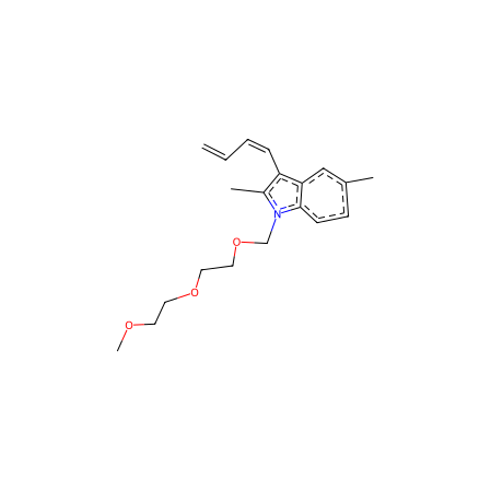 C=C/C=C\c1c(C)n(COCCOCCOC)c2ccc(C)cc12